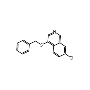 Clc1ccc2c(SCc3ccccc3)cncc2c1